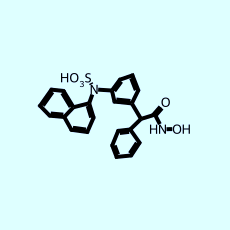 O=C(NO)C(c1ccccc1)c1cccc(N(c2cccc3ccccc23)S(=O)(=O)O)c1